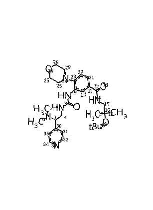 CN(C)C(CNC(=O)Nc1cc(C(=O)NCC(C)(C)OC(C)(C)C)ccc1N1CCOCC1)c1ccncc1